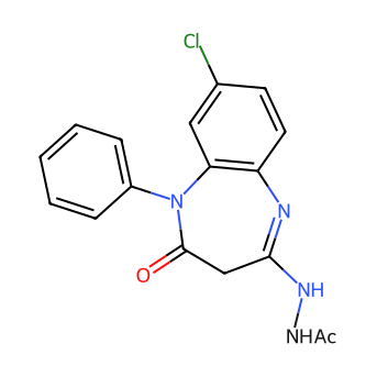 CC(=O)NNC1=Nc2ccc(Cl)cc2N(c2ccccc2)C(=O)C1